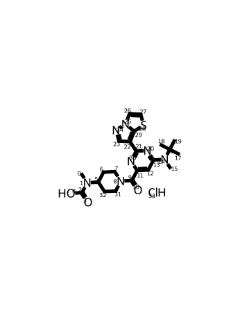 CN(C(=O)O)C1CCN(C(=O)c2cc(N(C)C(C)(C)C)nc(-c3cnn4ccsc34)n2)CC1.Cl